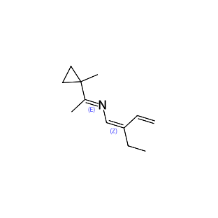 C=C/C(=C\N=C(/C)C1(C)CC1)CC